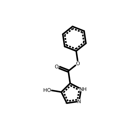 O=C(Oc1ccccc1)c1[nH]n[c]c1O